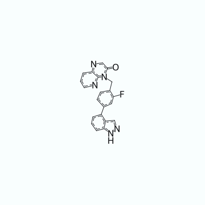 O=c1cnc2cccnc2n1Cc1ccc(-c2cccc3[nH]ncc23)cc1F